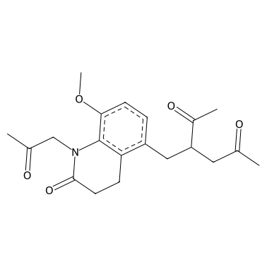 COc1ccc(CC(CC(C)=O)C(C)=O)c2c1N(CC(C)=O)C(=O)CC2